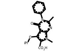 Cc1nc2c(c(OC(C)C)c(C(=O)O)n2C)c(=O)n1-c1ccccc1